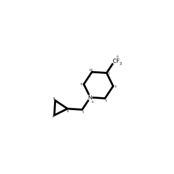 FC(F)(F)C1[CH]CN(CC2CC2)CC1